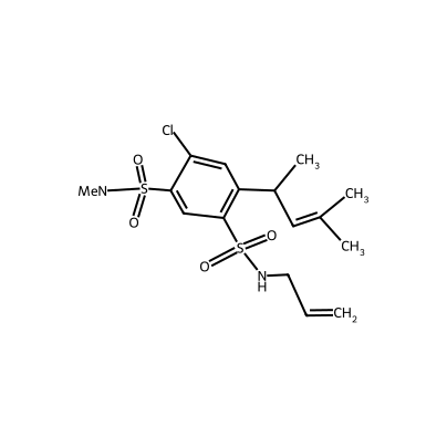 C=CCNS(=O)(=O)c1cc(S(=O)(=O)NC)c(Cl)cc1C(C)C=C(C)C